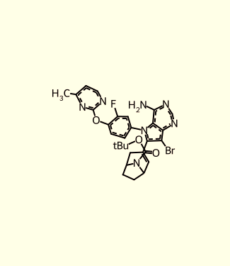 Cc1ccnc(Oc2ccc(-n3c(C4=CC5CCC(C4)N5C(=O)OC(C)(C)C)c(Br)c4ncnc(N)c43)cc2F)n1